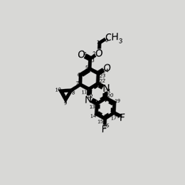 CCOC(=O)C1=CC(C2CC2)c2nc3cc(F)c(F)cc3nc2C1=O